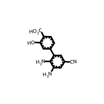 N#Cc1cc(N)c(N)c(-c2ccc(C(=O)O)c(O)c2)c1